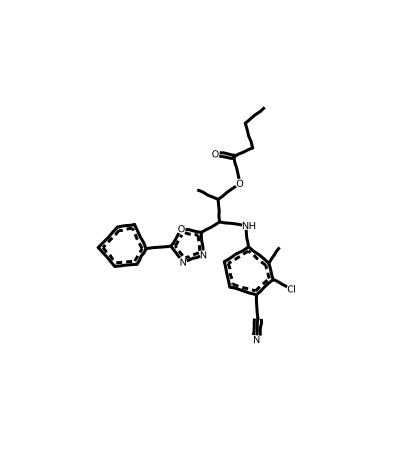 CCCC(=O)OC(C)C(Nc1ccc(C#N)c(Cl)c1C)c1nnc(-c2ccccc2)o1